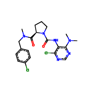 CN(Cc1ccc(Cl)cc1)C(=O)[C@H]1CCCN1C(=O)Nc1c(Cl)ncnc1N(C)C